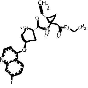 C=C[C@@H]1C[C@]1(NC(=O)[C@@H]1C[C@@H](Oc2ccnc3cc(I)ccc23)CN1)C(=O)OCC